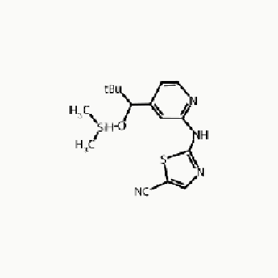 C[SiH](C)OC(c1ccnc(Nc2ncc(C#N)s2)c1)C(C)(C)C